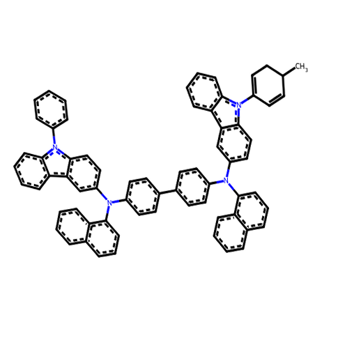 CC1C=CC(n2c3ccccc3c3cc(N(c4ccc(-c5ccc(N(c6ccc7c(c6)c6ccccc6n7-c6ccccc6)c6cccc7ccccc67)cc5)cc4)c4cccc5ccccc45)ccc32)=CC1